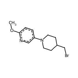 COc1ccc(N2CCC(CBr)CC2)cn1